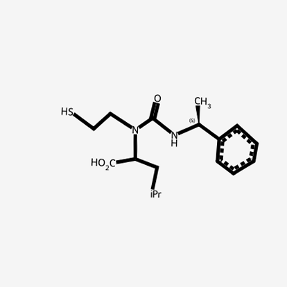 CC(C)CC(C(=O)O)N(CCS)C(=O)N[C@@H](C)c1ccccc1